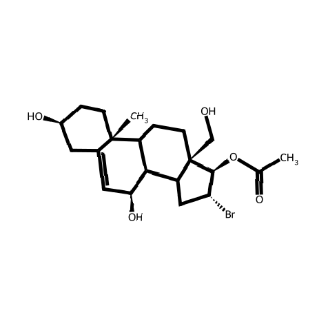 CC(=O)O[C@H]1[C@H](Br)CC2C3C(CC[C@@]21CO)[C@@]1(C)CC[C@H](O)CC1=C[C@@H]3O